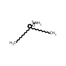 CCCCCCCCCCCCc1cccc(OC(N)=S)c1CCCCCCCCCCCC